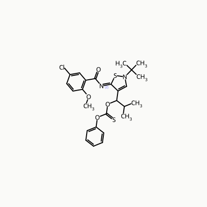 COc1ccc(Cl)cc1C(=O)/N=c1\sn(C(C)(C)C)cc1C(OC(=S)Oc1ccccc1)C(C)C